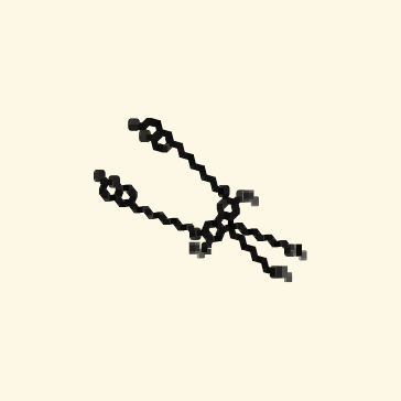 CCCCCCCCC1(CCCCCCCC)c2cc(C)c(OCCCCCCCCc3ccc4oc(=O)ccc4c3)cc2-c2cc(OCCCCCCCCc3ccc4oc(=O)ccc4c3)c(C)cc21